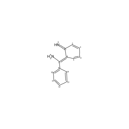 N=C1C=CC=C/C1=C(/N)c1ccccc1